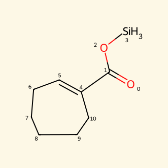 O=C(O[SiH3])C1=CCCCCC1